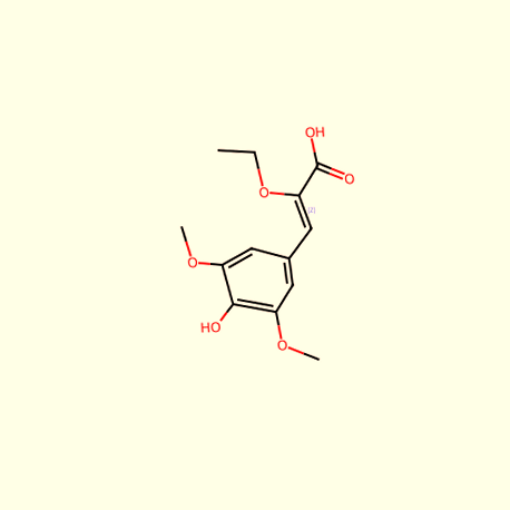 CCO/C(=C\c1cc(OC)c(O)c(OC)c1)C(=O)O